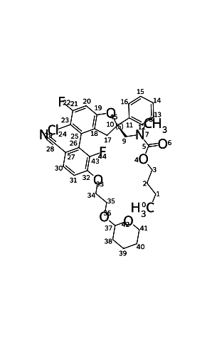 CCCCOC(=O)N(C)C[C@@]1(c2ccccc2)Cc2c(cc(F)c(Cl)c2-c2c(C#N)ccc(OCCOC3CCCCO3)c2F)O1